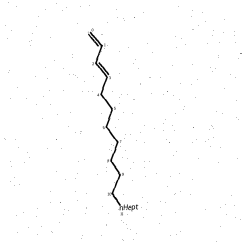 [CH]=CC=CCCCCCCCCCCCCC[CH2]